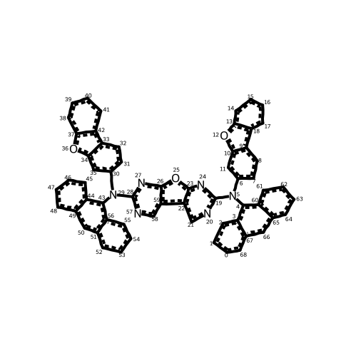 c1ccc2c(N(c3ccc4c(c3)oc3ccccc34)c3ncc4c(n3)oc3nc(N(c5ccc6c(c5)oc5ccccc56)c5c6ccccc6cc6ccccc56)ncc34)c3ccccc3cc2c1